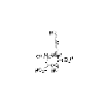 CCCNC(CCO)C(=O)O.NC(CCC(=O)O)C(=O)O.OCCOCCO